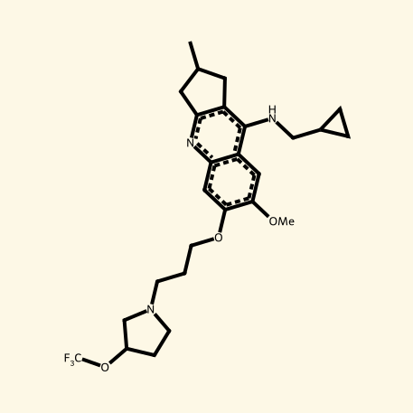 COc1cc2c(NCC3CC3)c3c(nc2cc1OCCCN1CCC(OC(F)(F)F)C1)CC(C)C3